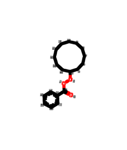 O=C(OO[C]1CCCCCCCCCCC1)c1ccccc1